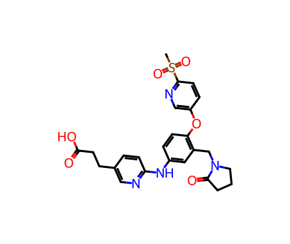 CS(=O)(=O)c1ccc(Oc2ccc(Nc3ccc(CCC(=O)O)cn3)cc2CN2CCCC2=O)cn1